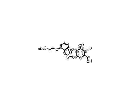 CCCCCCCCCCCCOc1ccccc1OS(=O)(=O)O[C@@H]1O[C@H](CO)[C@H](O)[C@H](O)[C@H]1O